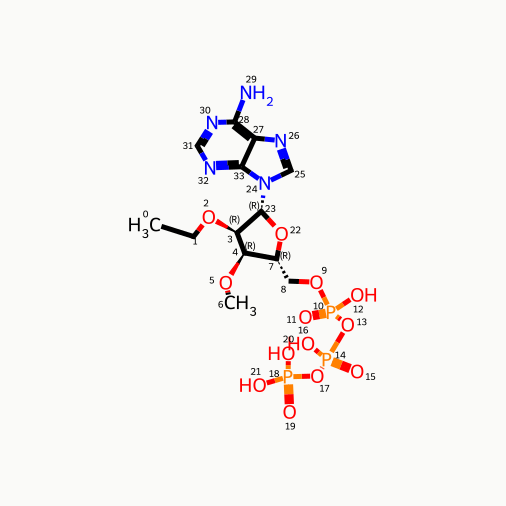 CCO[C@@H]1[C@H](OC)[C@@H](COP(=O)(O)OP(=O)(O)OP(=O)(O)O)O[C@H]1n1cnc2c(N)ncnc21